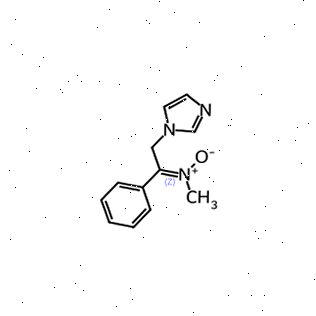 C/[N+]([O-])=C(/Cn1ccnc1)c1ccccc1